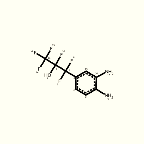 Nc1ccc(C(F)(F)C(O)(F)C(F)(F)F)cc1N